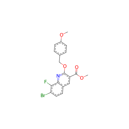 COC(=O)c1cc2ccc(Br)c(F)c2nc1OCc1ccc(OC)cc1